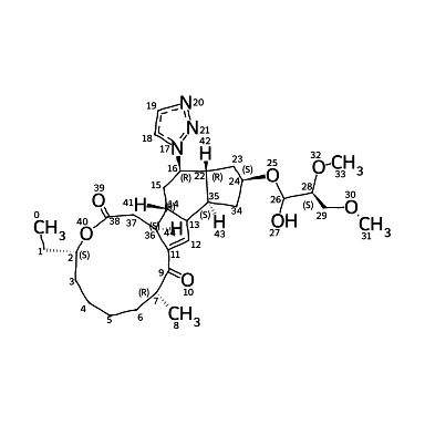 CC[C@H]1CCCC[C@@H](C)C(=O)C2=CC3[C@@H](C[C@@H](n4ccnn4)[C@@H]4C[C@@H](OC(O)[C@H](COC)OC)C[C@@H]34)[C@@H]2CC(=O)O1